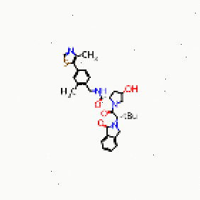 Cc1cc(-c2scnc2C)ccc1CNC(=O)[C@@H]1C[C@@H](O)CN1C(=O)[C@@H](N1Cc2ccccc2C1=O)C(C)(C)C